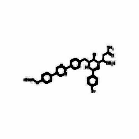 CCCCCCCOc1ccc(-c2cnc(-c3ccc(CC(NC(=O)c4ccc(C(C)C)cc4)C(=O)NC(CC(N)=O)C(=O)O)cc3)nc2)cc1